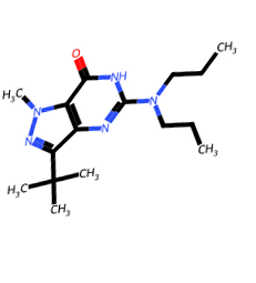 CCCN(CCC)c1nc2c(C(C)(C)C)nn(C)c2c(=O)[nH]1